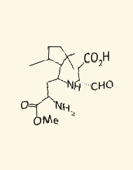 COC(=O)C(N)CC(N[C@@H](C=O)CC(=O)O)C1C(C)CCC1(C)C